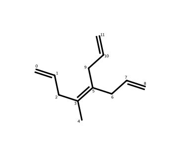 C=CCC(C)=C(CC=C)CC=C